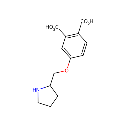 O=C(O)c1ccc(OCC2CCCN2)cc1C(=O)O